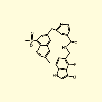 Cc1cnc2c(S(C)(=O)=O)cc(Cc3cc(C(=O)NCc4ccc5[nH]cc(Cl)c5c4F)ccn3)cc2c1